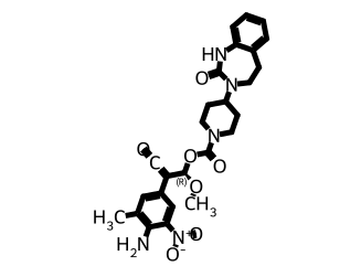 CO[C@H](OC(=O)N1CCC(N2CCc3ccccc3NC2=O)CC1)C(=C=O)c1cc(C)c(N)c([N+](=O)[O-])c1